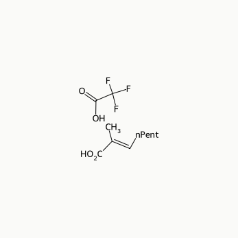 CCCCCC=C(C)C(=O)O.O=C(O)C(F)(F)F